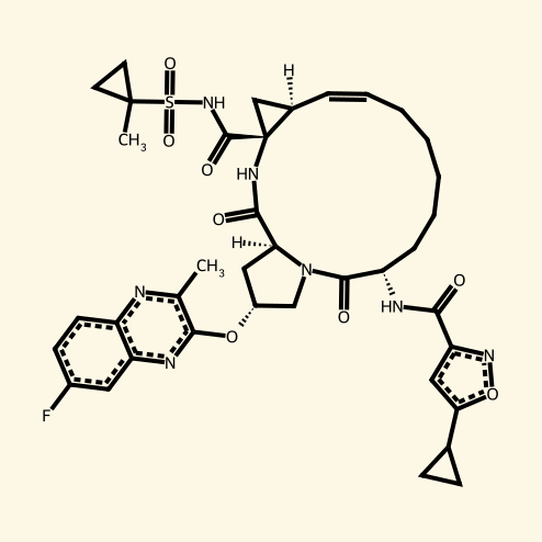 Cc1nc2ccc(F)cc2nc1O[C@@H]1C[C@H]2C(=O)N[C@]3(C(=O)NS(=O)(=O)C4(C)CC4)C[C@H]3C=CCCCCC[C@H](NC(=O)c3cc(C4CC4)on3)C(=O)N2C1